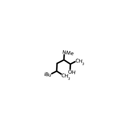 CCC(C)C(C)CC(NC)C(C)O